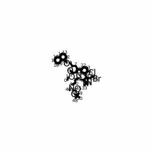 CCOC(=O)c1c(CCCOc2cccc3ccccc23)c2ccc(Cl)c(-c3c(CBr)nn(C)c3C)c2n1CCCCN(C)C(=O)OC(C)(C)C